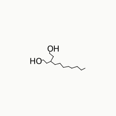 CCCCCCCCC(CCO)CCO